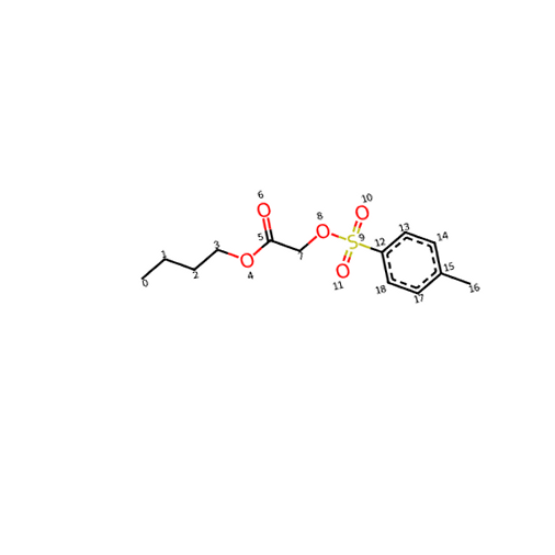 CCCCOC(=O)COS(=O)(=O)c1ccc(C)cc1